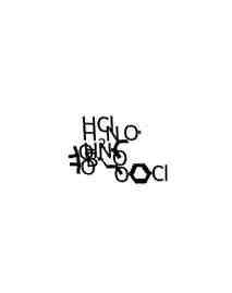 COC[C@@H](N)C(=O)N[C@@H](CCOc1ccc(Cl)cc1)B1OC(C)(C)C(C)(C)O1.Cl